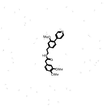 COc1ccc(CC(=O)NCCc2ccc(-c3ccncc3)c(OC)c2)cc1OC